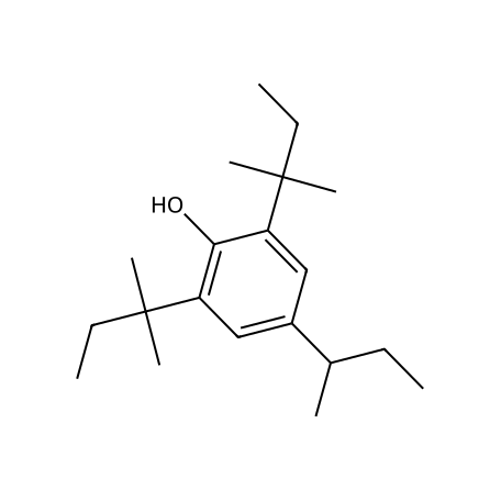 CCC(C)c1cc(C(C)(C)CC)c(O)c(C(C)(C)CC)c1